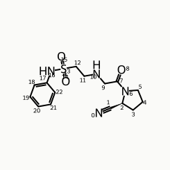 N#C[C@@H]1CCCN1C(=O)CNCCS(=O)(=O)Nc1ccccc1